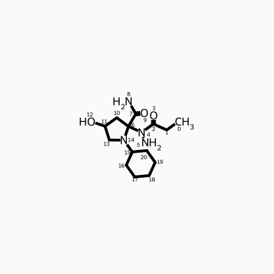 CCC(=O)N(N)C1(C(N)=O)CC(O)CN1C1CCCCC1